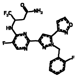 NC(=O)CC(Nc1nc(-c2cc(-c3ccon3)n(Cc3ccccc3F)n2)ncc1F)C(F)(F)F